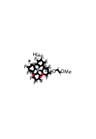 COCCOC.Fc1c(F)c(F)c([B-](c2c(F)c(F)c(F)c(F)c2F)(c2c(F)c(F)c(F)c(F)c2F)c2c(F)c(F)c(F)c(F)c2F)c(F)c1F.[LiH]